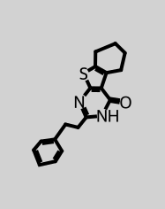 O=c1[nH]c(CCc2ccccc2)nc2sc3c(c12)CCCC3